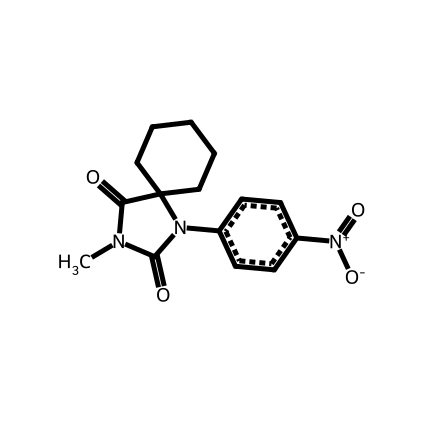 CN1C(=O)N(c2ccc([N+](=O)[O-])cc2)C2(CCCCC2)C1=O